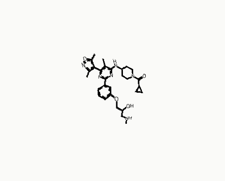 CNCC(O)COc1cccc(-c2nc(NC3CCN(C(=O)C4CC4)CC3)c(C)c(-c3c(C)noc3C)n2)c1